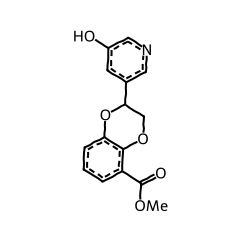 COC(=O)c1cccc2c1OCC(c1cncc(O)c1)O2